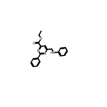 CCOC(=O)c1cc(CNc2ccccc2)nc(-c2ccccc2)n1